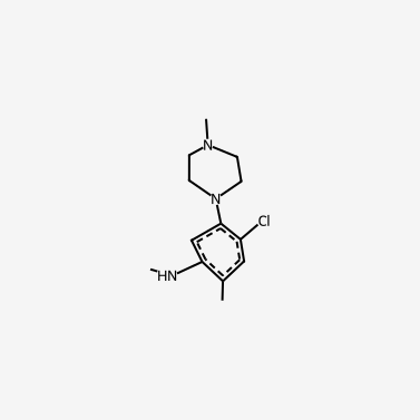 CNc1cc(N2CCN(C)CC2)c(Cl)cc1C